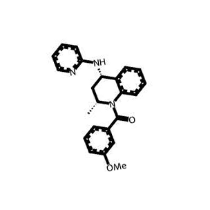 COc1cccc(C(=O)N2c3ccccc3[C@@H](Nc3ccccn3)C[C@H]2C)c1